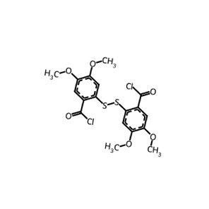 COc1cc(SSc2cc(OC)c(OC)cc2C(=O)Cl)c(C(=O)Cl)cc1OC